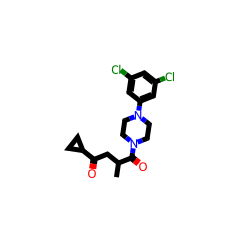 CC(CC(=O)C1CC1)C(=O)N1CCN(c2cc(Cl)cc(Cl)c2)CC1